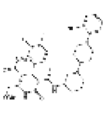 COCC1=C(C(=O)OC)[C@H](c2ccc(F)c(F)c2)N(C(=O)NC2CCCN(C3CCN(c4ccccc4C#N)CC3)C2)C(=O)N1